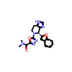 CN(C)C(=O)c1nnc(N2CCc3[nH]cnc3[C@H]2c2cc3ccccc3o2)o1